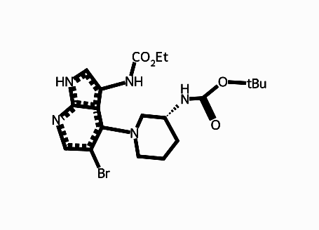 CCOC(=O)Nc1c[nH]c2ncc(Br)c(N3CCC[C@@H](NC(=O)OC(C)(C)C)C3)c12